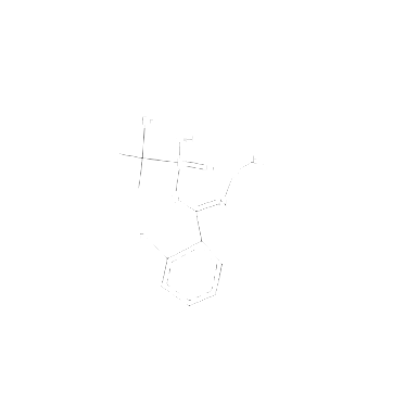 CCON=C(OP(=O)(O)C(C)(C)CC)c1ccccc1F